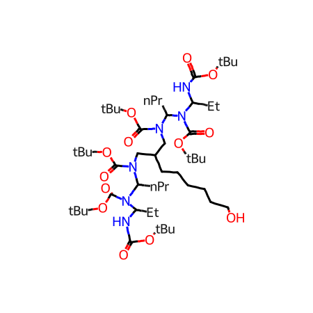 CCCC(N(CC(CCCCCCO)CN(C(=O)OC(C)(C)C)C(CCC)N(C(=O)OC(C)(C)C)C(CC)NC(=O)OC(C)(C)C)C(=O)OC(C)(C)C)N(C(=O)OC(C)(C)C)C(CC)NC(=O)OC(C)(C)C